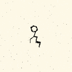 CC=CCC(CC)c1ccccc1